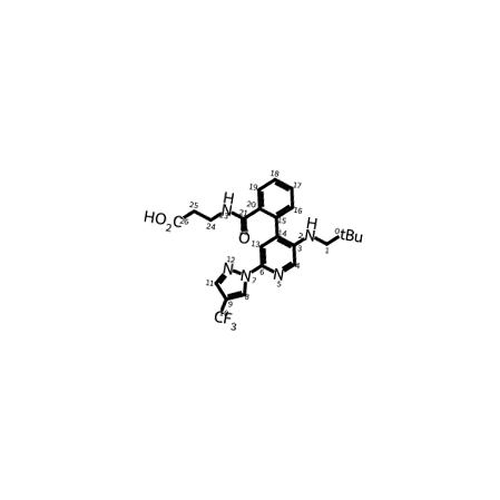 CC(C)(C)CNc1cnc(-n2cc(C(F)(F)F)cn2)cc1-c1ccccc1C(=O)NCCC(=O)O